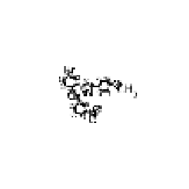 COc1ccc(C2=NN3C(C2)c2cc(Br)ccc2OC3c2cccc([N+](=O)[O-])c2)cc1